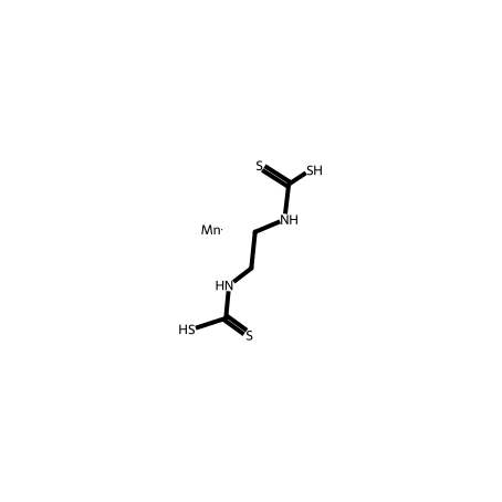 S=C(S)NCCNC(=S)S.[Mn]